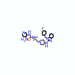 Nc1ccncc1NC(=O)NSCCN1CCC(Nc2nc3ccccc3n2Cc2ccc(F)cc2)CC1